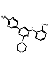 COc1ccccc1Nc1cc(-c2cnc(N)nc2)nc(N2CCOCC2)n1